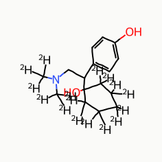 [2H]C([2H])([2H])N(CC(c1ccc(O)cc1)C1(O)C([2H])([2H])C([2H])([2H])C([2H])([2H])C([2H])([2H])C1([2H])[2H])C([2H])([2H])[2H]